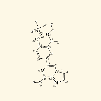 CCN(C(C)c1cc(-c2cn3ccnc3c(OC)n2)ccn1)[S@+]([O-])C(C)(C)C